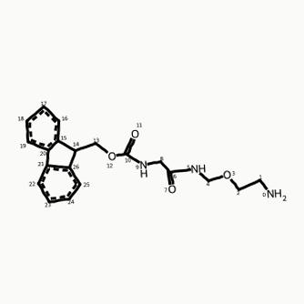 NCCOCNC(=O)CNC(=O)OCC1c2ccccc2-c2ccccc21